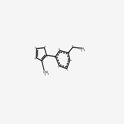 CC1=C(c2cccc(CN)c2)CC=C1